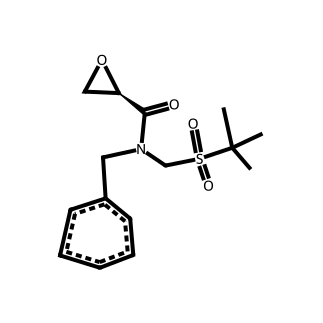 CC(C)(C)S(=O)(=O)CN(Cc1ccccc1)C(=O)[C@H]1CO1